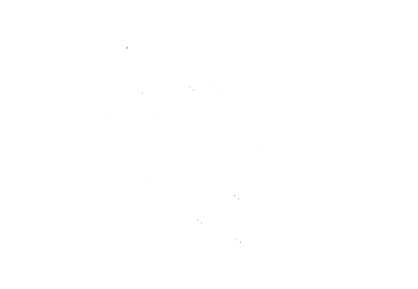 NC(=O)Cc1ccccc1CCc1nc(Nc2ccc(C3CN(BC=O)CCO3)cc2)ncc1C(F)(F)F